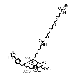 COC(=O)[C@@]1(OCCCCCCNC(=O)CCOCCOCCOCCOCCNC(=O)OC(C)(C)C)C[C@H](OC(C)=O)[C@@H](NC(=O)COC(C)=O)[C@H]([C@H](OC(C)=O)[C@@H](CNC(=O)Cc2ccc(-c3nnn[nH]3)cc2)OC(C)=O)O1